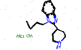 CCCCn1c(C2CCNCC2)nc2ccccc21.Cl.Cl